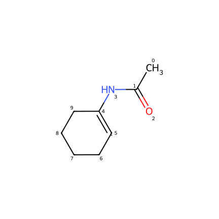 CC(=O)NC1=[C]CCCC1